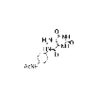 CC(=O)NC1CCC(NC(=O)c2[nH]c(=O)[nH]c(=O)c2N)CC1